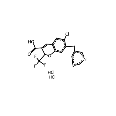 Cl.Cl.O=C(O)C1=Cc2cc(Cl)c(Cc3cncnc3)cc2OC1C(F)(F)F